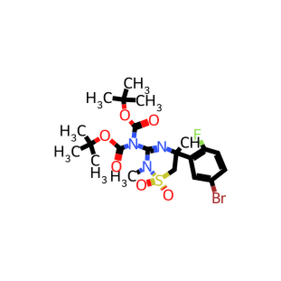 CN1C(N(C(=O)OC(C)(C)C)C(=O)OC(C)(C)C)=NC(C)(c2cc(Br)ccc2F)CS1(=O)=O